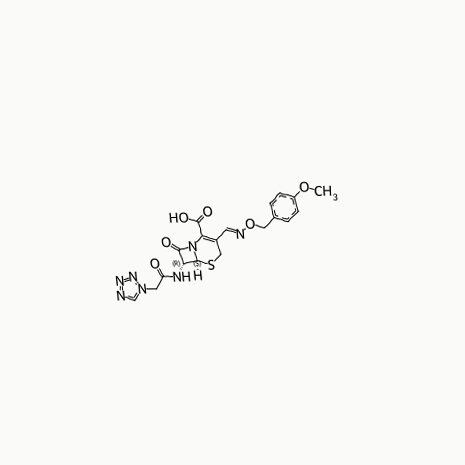 COc1ccc(CON=CC2=C(C(=O)O)N3C(=O)[C@@H](NC(=O)Cn4cnnn4)[C@@H]3SC2)cc1